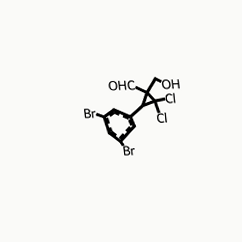 O=CC1(CO)C(c2cc(Br)cc(Br)c2)C1(Cl)Cl